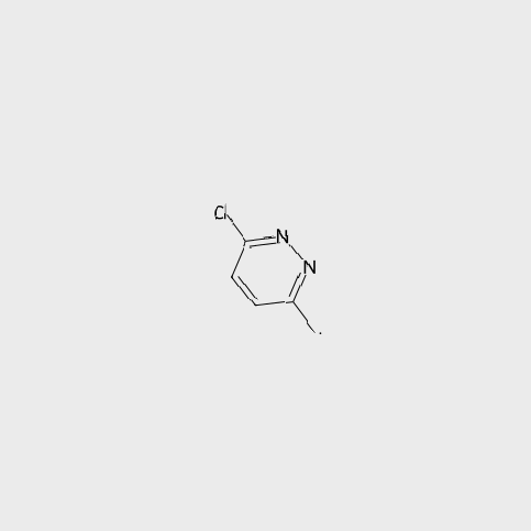 [CH2]c1ccc(Cl)nn1